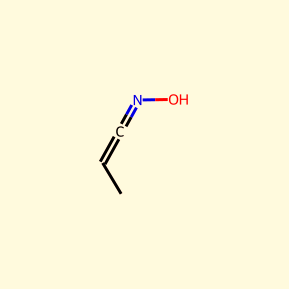 CC=C=NO